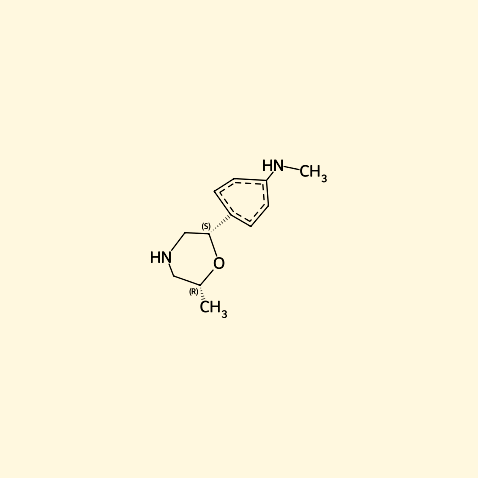 CNc1ccc([C@H]2CNC[C@@H](C)O2)cc1